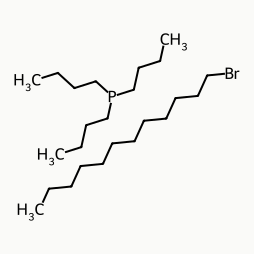 CCCCCCCCCCCCBr.CCCCP(CCCC)CCCC